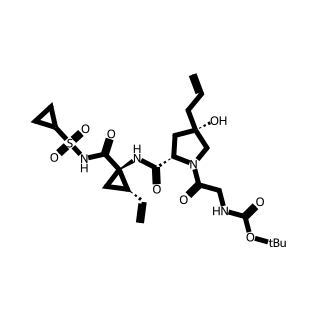 C=CC[C@]1(O)C[C@@H](C(=O)N[C@]2(C(=O)NS(=O)(=O)C3CC3)C[C@H]2C=C)N(C(=O)CNC(=O)OC(C)(C)C)C1